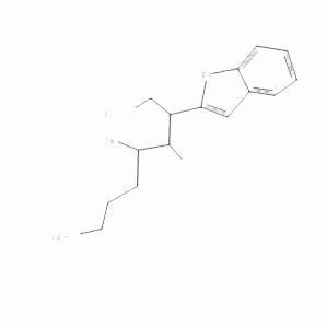 CCCCCCCCCCCCCC(Br)C(Cl)C(CC(=O)O)c1cc2ccccc2[nH]1